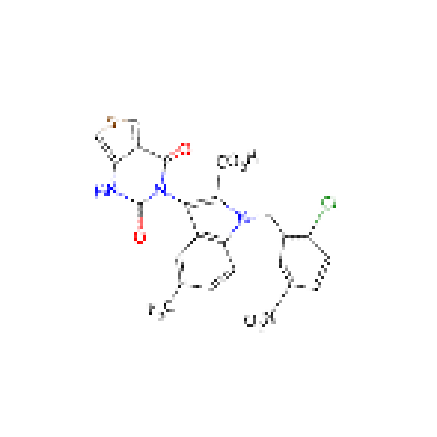 O=C(O)c1c(-n2c(=O)[nH]c3cscc3c2=O)c2cc(C(F)(F)F)ccc2n1Cc1cc([N+](=O)[O-])ccc1Cl